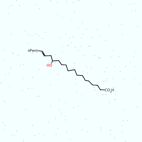 CCCCCC=CCC(O)CCCCCCCCCCCCC(=O)O